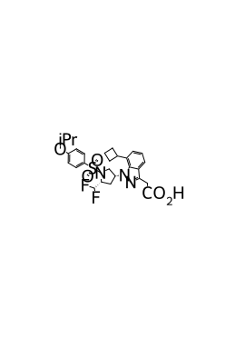 CC(C)Oc1ccc(S(=O)(=O)N2C[C@H](n3nc(CC(=O)O)c4cccc(C5CCC5)c43)C[C@@H]2C(F)F)cc1